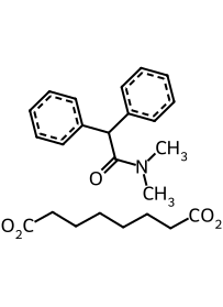 CN(C)C(=O)C(c1ccccc1)c1ccccc1.O=C(O)CCCCCCC(=O)O